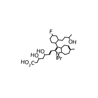 CC1=CCC2C(C3CCC(F)CC3CCC(C)O)=C(/C=C/[C@H](O)C[C@H](O)CC(=O)O)N(C(C)C)C2CC1